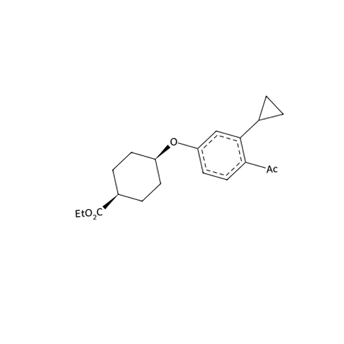 CCOC(=O)[C@H]1CC[C@@H](Oc2ccc(C(C)=O)c(C3CC3)c2)CC1